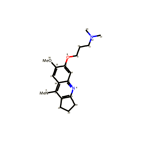 CNc1c2c(nc3cc(OCCCN(C)C)c(OC)cc13)CCC2